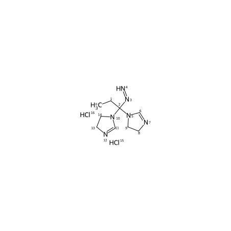 CCC(N=N)(N1C=NCC1)N1C=NCC1.Cl.Cl